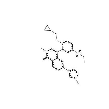 CCS(=O)(=O)c1ccc(NCC2CC2)c(-c2cn(C)c(=O)c3ccc(-c4cnn(C)c4)cc23)c1